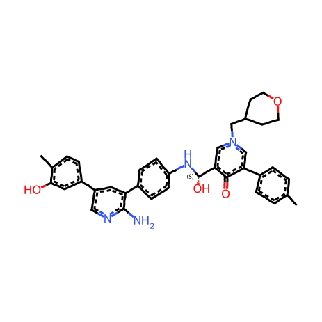 Cc1ccc(-c2cn(CC3CCOCC3)cc([C@H](O)Nc3ccc(-c4cc(-c5ccc(C)c(O)c5)cnc4N)cc3)c2=O)cc1